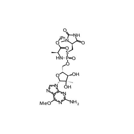 COc1nc(N)nc2c1ncn2[C@@H]1O[C@H](CO[P@@](=O)(N[C@@H](C)C(=O)OC(C)C)SC[C@@H]2C(=O)NC(=O)N2C)[C@@H](O)[C@@]1(C)O